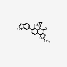 Cc1nc2c(=O)n(C3CC3)c3c(C)c(-c4ccc5cc[nH]c5c4)ccc3c2o1